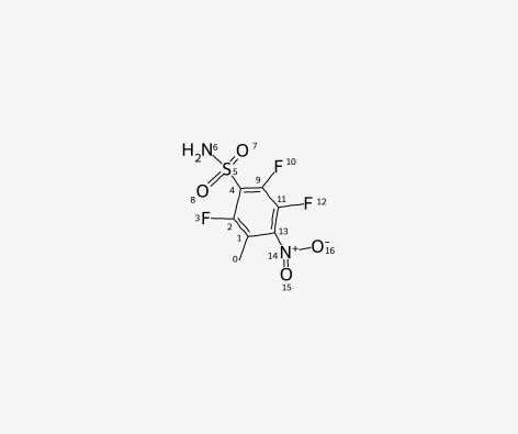 Cc1c(F)c(S(N)(=O)=O)c(F)c(F)c1[N+](=O)[O-]